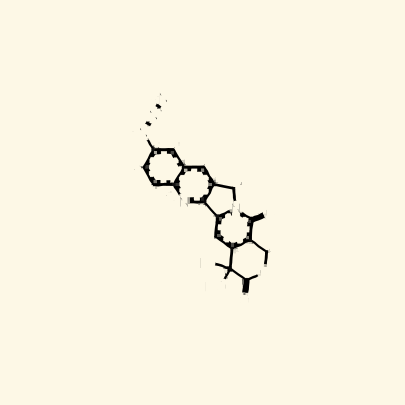 CCC1(O)C(=O)OCc2c1cc1n(c2=O)Cc2cc3cc(N=[N+]=[N-])ccc3nc2-1